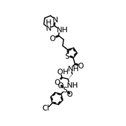 O=C(CCc1ccc(C(=O)NC[C@H](NS(=O)(=O)c2ccc(Cl)cc2)C(=O)O)s1)NC1=NCCCN1